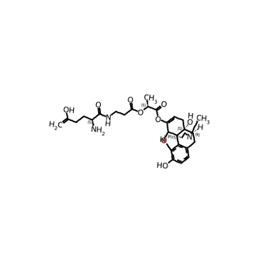 C=C(O)CC[C@H](N)C(=O)NCCC(=O)O[C@@H](C)C(=O)OC1=CC[C@@]2(O)[C@H]3Cc4ccc(O)c5c4[C@@]2(CCN3C)[C@H]1O5